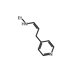 CCN/C=C\Cc1ccncc1